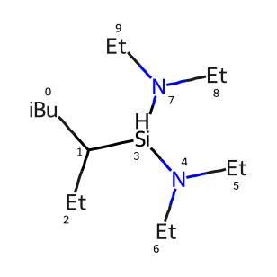 CCC(C)C(CC)[SiH](N(CC)CC)N(CC)CC